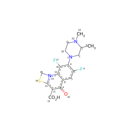 CC1CN(c2c(F)cc3c(=O)c(C(=O)O)c4n(c3c2F)CS4)CCN1C